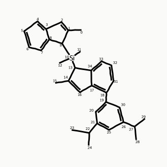 CC1=Cc2ccccc2C1[Si](C)(C)C1C(C)=Cc2c(-c3cc(C(C)C)cc(C(C)C)c3)cccc21